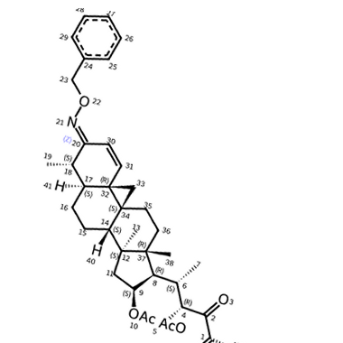 C=C(C(=O)[C@H](OC(C)=O)[C@@H](C)[C@H]1[C@@H](OC(C)=O)C[C@@]2(C)[C@@H]3CC[C@H]4[C@H](C)/C(=N/OCc5ccccc5)C=C[C@@]45C[C@@]35CC[C@]12C)[C@@H](C)CC